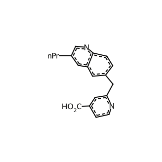 CCCc1cnc2ccc(Cc3cc(C(=O)O)ccn3)cc2c1